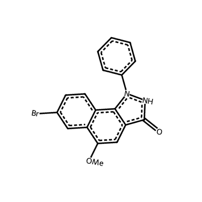 COc1cc2c(=O)[nH]n(-c3ccccc3)c2c2ccc(Br)cc12